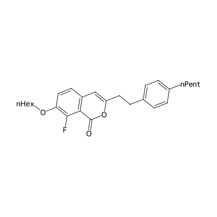 CCCCCCOc1ccc2cc(CCc3ccc(CCCCC)cc3)oc(=O)c2c1F